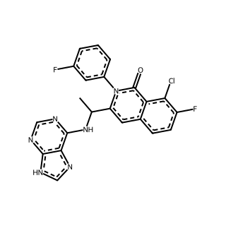 CC(Nc1ncnc2[nH]cnc12)c1cc2ccc(F)c(Cl)c2c(=O)n1-c1cccc(F)c1